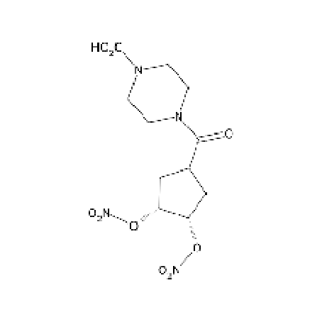 O=C(O)N1CCN(C(=O)C2C[C@H](O[N+](=O)[O-])[C@H](O[N+](=O)[O-])C2)CC1